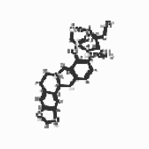 COCP(=O)(N[C@@H](C)C(=O)OC(C)C)Oc1c(OC)ccc2c1CN1CCc3cc4c(cc3C1C2)OCO4